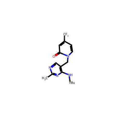 CCCCNc1nc(C)ncc1Cn1ccc(C(F)(F)F)cc1=O